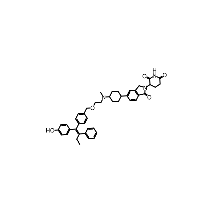 CCC(=C(c1ccc(O)cc1)c1ccc(COCCN(C)C2CCC(c3ccc4c(c3)CN(C3CCC(=O)NC3=O)C4=O)CC2)cc1)c1ccccc1